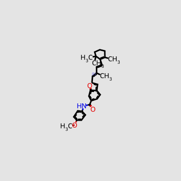 COc1ccc(NC(=O)c2ccc3cc(/C=C(\C)C=CC4=C(C)CCCC4(C)C)oc3c2)cc1